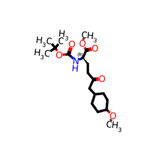 COC(=O)[C@@H](CCC(=O)CC1CCC(OC)CC1)NC(=O)OC(C)(C)C